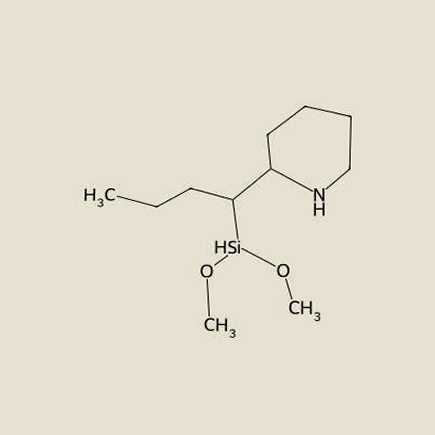 CCCC(C1CCCCN1)[SiH](OC)OC